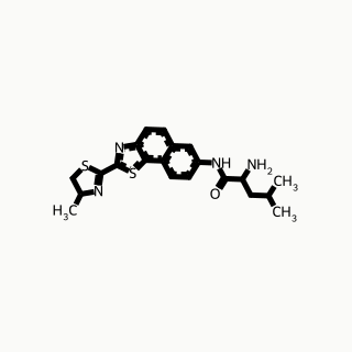 CC(C)CC(N)C(=O)Nc1ccc2c(ccc3nc(C4=NC(C)CS4)sc32)c1